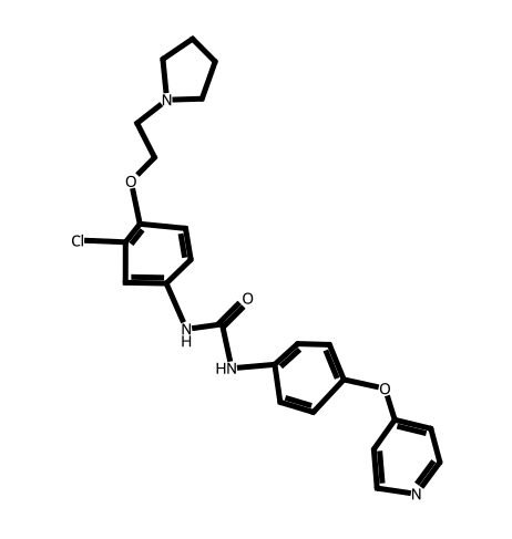 O=C(Nc1ccc(Oc2ccncc2)cc1)Nc1ccc(OCCN2CCCC2)c(Cl)c1